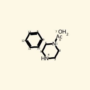 CC(=O)N1CCNCC1.O.c1ccccc1